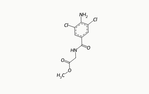 COC(=O)CNC(=O)c1cc(Cl)c(N)c(Cl)c1